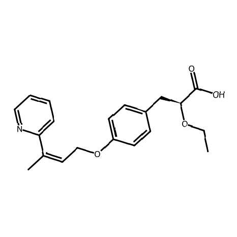 CCO[C@@H](Cc1ccc(OCC=C(C)c2ccccn2)cc1)C(=O)O